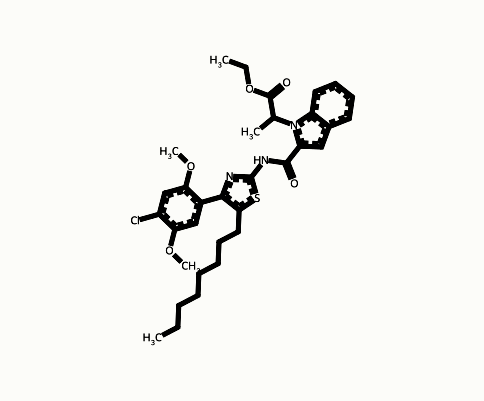 CCCCCCCCc1sc(NC(=O)c2cc3ccccc3n2C(C)C(=O)OCC)nc1-c1cc(OC)c(Cl)cc1OC